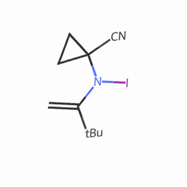 C=C(N(I)C1(C#N)CC1)C(C)(C)C